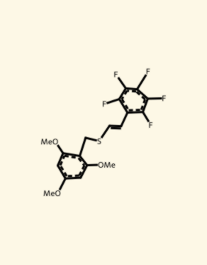 COc1cc(OC)c(CS/C=C/c2c(F)c(F)c(F)c(F)c2F)c(OC)c1